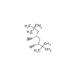 CC(C)(C)CC(C#N)CC(C#N)C(C)(C)C